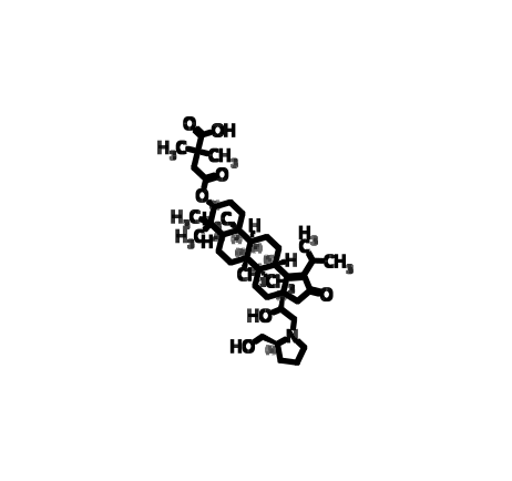 CC(C)C1=C2[C@H]3CC[C@@H]4[C@@]5(C)CC[C@H](OC(=O)CC(C)(C)C(=O)O)C(C)(C)[C@@H]5CC[C@@]4(C)[C@]3(C)CC[C@@]2(C(O)CN2CCC[C@H]2CO)CC1=O